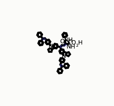 N=C(C(=O)O)/C(=C/C=C(/c1ccc2c(c1)C1CCCC1N2c1ccc(/C=C(\c2ccccc2)C2C=CC=CC2)cc1)c1ccc2c(c1)C1CCCC1N2c1ccc(/C=C(/C2=CC=CCC2)C2C=CC=CC2)cc1)C(=O)Nc1ccccc1